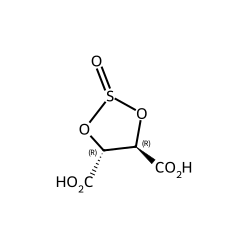 O=C(O)[C@@H]1OS(=O)O[C@H]1C(=O)O